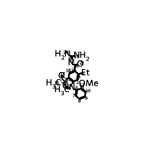 CCc1cc(N(C)c2ccccc2OC)c(S(C)(=O)=O)cc1C(=O)N=C(N)N